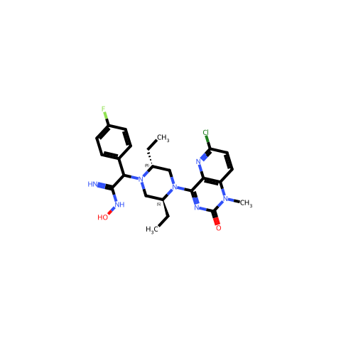 CC[C@H]1CN(C(C(=N)NO)c2ccc(F)cc2)[C@H](CC)CN1c1nc(=O)n(C)c2ccc(Cl)nc12